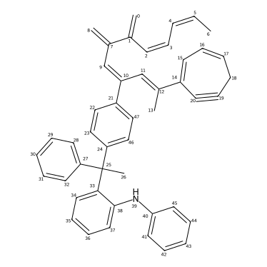 C=C(/C=C\C=C/C)C(=C)/C=C(\C=C(/C)C1=CC=CCC#C1)c1ccc(C(C)(c2ccccc2)c2ccccc2Nc2ccccc2)cc1